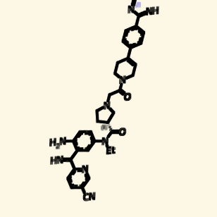 CCN(C(=O)[C@@H]1CCN(CC(=O)N2CC=C(c3ccc(C(=N)/N=C\NC)cc3)CC2)C1)c1ccc(N)c(C(=N)c2ccc(C#N)cn2)c1